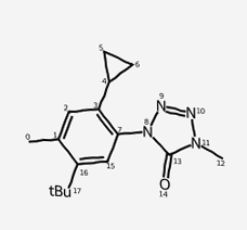 Cc1cc(C2CC2)c(-n2nnn(C)c2=O)cc1C(C)(C)C